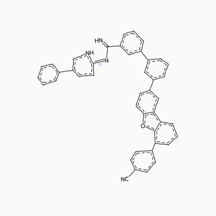 N#Cc1ccc(-c2cccc3c2oc2ccc(-c4cccc(-c5cccc(C(=N)/N=c6/ccc(-c7ccccc7)c[nH]6)c5)c4)cc23)cc1